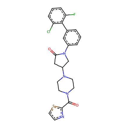 O=C(c1nccs1)N1CCN(C2CC(=O)N(c3cccc(-c4c(F)cccc4Cl)c3)C2)CC1